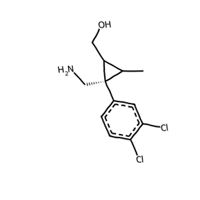 CC1C(CO)[C@]1(CN)c1ccc(Cl)c(Cl)c1